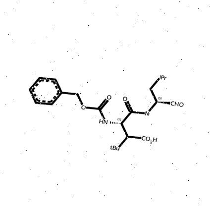 CC(C)C[C@@H](C=O)[N]C(=O)[C@@H](NC(=O)OCc1ccccc1)C(C(=O)O)C(C)(C)C